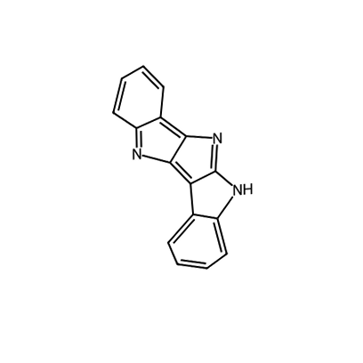 c1ccc2c(c1)=NC1=c3c([nH]c4ccccc34)=NC=21